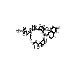 CC(C)(C)S(=O)(=O)CC[C@H]1CC/C=C/[C@H](O)[C@@H]2CC[C@H]2CN2C[C@@]3(CCCc4cc(Cl)ccc43)COc3ccc(cc32)C(=O)NS1(=O)=O